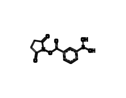 O=C(ON1C(=O)CCC1=O)c1cccc(B(O)O)c1